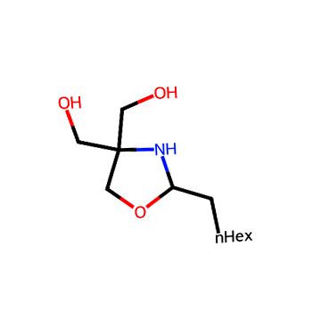 CCCCCCCC1NC(CO)(CO)CO1